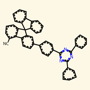 N#Cc1cccc2c1-c1ccc(-c3ccc(-c4nc(-c5ccccc5)nc(-c5ccccc5)n4)cc3)cc1C21c2ccccc2-c2ccccc21